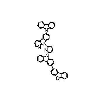 c1cc(-n2c3ccccc3c3cc(-c4ccc5oc6ccccc6c5c4)ccc32)nc(-n2c3ccc(-n4c5ccccc5c5ccccc54)cc3c3cccnc32)c1